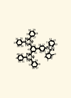 Cc1ccccc1-c1nc2ccccc2n1-c1ccc(-c2cc(-c3nc(-c4ccccc4)nc(-c4ccccc4)n3)cc(-c3nc(-c4ccccc4)nc(-c4ccccc4)n3)c2)cc1